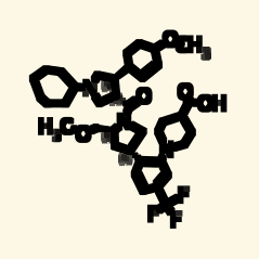 COC[C@@H]1C[C@@H](c2ccc(C(F)(F)F)cc2N2CCC(C(=O)O)CC2)CN1C(=O)[C@@H]1CN(C2CCCCCC2)C[C@H]1C1C=CC(OC)CC1